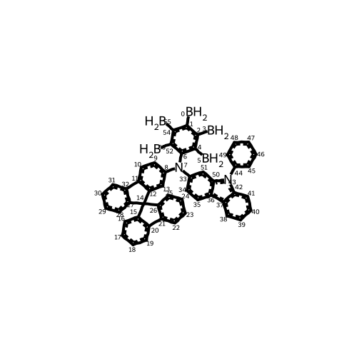 Bc1c(B)c(B)c(N(c2ccc3c(c2)C2(c4ccccc4-c4ccccc42)c2ccccc2-3)c2ccc3c4ccccc4n(-c4ccccc4)c3c2)c(B)c1B